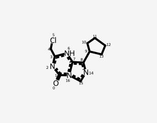 O=c1nc(CCl)[nH]c2c(C3CCCC3)ncn12